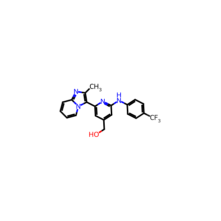 Cc1nc2ccccn2c1-c1cc(CO)cc(Nc2ccc(C(F)(F)F)cc2)n1